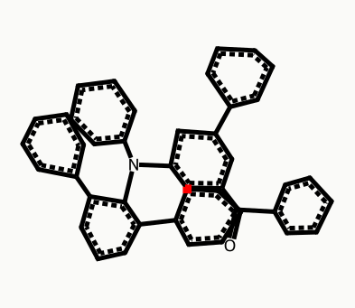 O=C(c1ccccc1)c1cc(-c2ccccc2)cc(N(c2ccccc2)c2c(-c3ccccc3)cccc2-c2ccccc2)c1